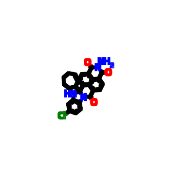 NN1C(=O)c2ccc3c4c(ccc(c24)C1=O)C1(C2C=CCCCC2)Nc2cc(Cl)ccc2N1C3=O